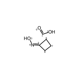 O=CO.ON=C1CCC1